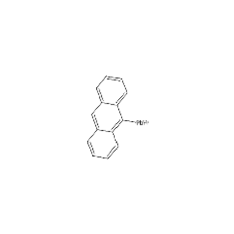 [PbH][c]1c2ccccc2cc2ccccc12